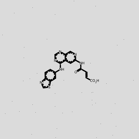 O=C(O)C=CC(=O)Nc1cc2c(Nc3ccc4ncsc4c3)ncnc2cn1